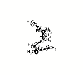 C=CC(=O)OCCOC(=O)NC1CCCC(C)(CNC(=O)C(C)(C)OCCCCOC(C)C(=O)NCC2(C)CC(NC(=O)OCCOC(=O)C=C)CC(C)(C)C2)C1